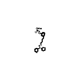 COC(=O)COc1cccc(CCCC=NOC(c2ccccc2)c2ccccc2)c1